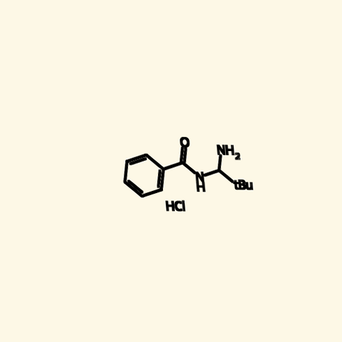 CC(C)(C)C(N)NC(=O)c1ccccc1.Cl